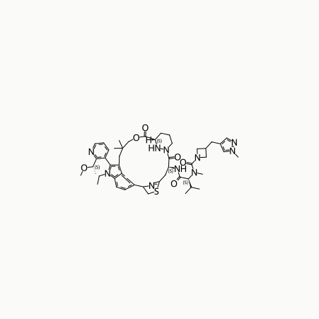 CCn1c(-c2cccnc2[C@H](C)OC)c2c3cc(ccc31)C1CSC(=N1)C[C@H](NC(=O)[C@H](C(C)C)N(C)C(=O)N1CC(Cc3cnn(C)c3)C1)C(=O)N1CCC[C@H](N1)C(=O)OCC(C)(C)C2